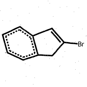 BrC1=Cc2cc[c]cc2C1